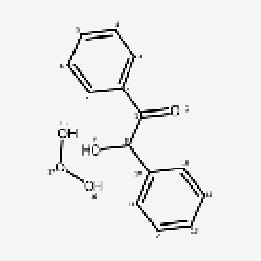 O=C(c1ccccc1)C(O)c1ccccc1.OOO